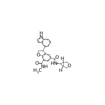 CNC(=O)c1cc(C(=O)N[C@H]2[C@@H]3COC[C@@H]32)cc2c1OCC2c1cccc2[nH]ccc12